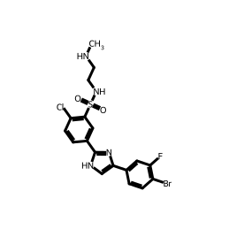 CNCCNS(=O)(=O)c1cc(-c2nc(-c3ccc(Br)c(F)c3)c[nH]2)ccc1Cl